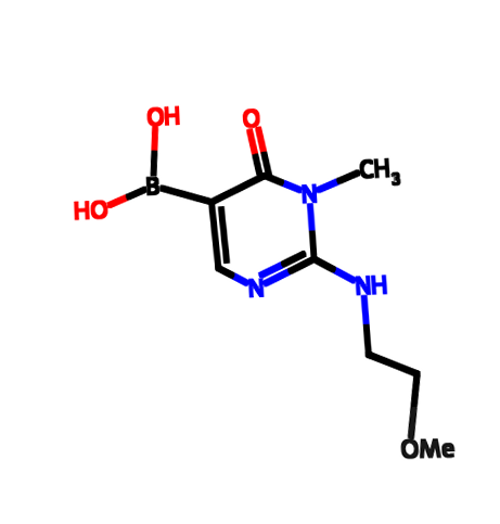 COCCNc1ncc(B(O)O)c(=O)n1C